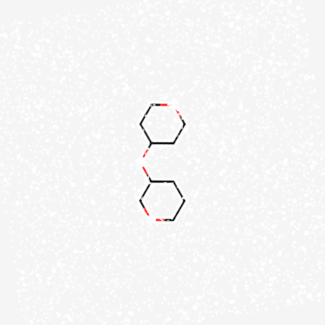 C1COCC(OC2CCOCC2)C1